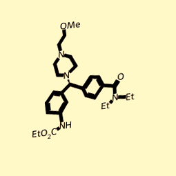 CCOC(=O)Nc1cccc([C@@H](c2ccc(C(=O)N(CC)CC)cc2)N2CCN(CCOC)CC2)c1